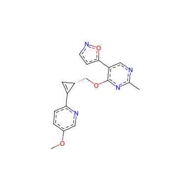 COc1ccc(C2=C[C@@H]2COc2nc(C)ncc2-c2ccno2)nc1